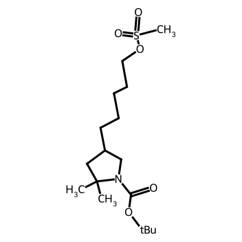 CC(C)(C)OC(=O)N1CC(CCCCCOS(C)(=O)=O)CC1(C)C